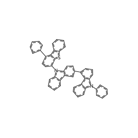 c1ccc(-c2ccc(-n3c4ccccc4c4cc(-c5cccc6c5c5ccccc5n6-c5ccccc5)ccc43)c3sc4ccccc4c23)cc1